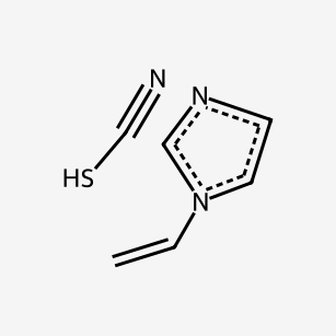 C=Cn1ccnc1.N#CS